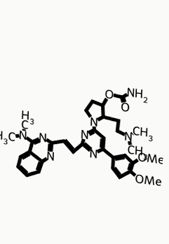 COc1ccc(-c2cc(N3CCC(OC(N)=O)C3CCN(C)C)nc(C=Cc3nc(N(C)C)c4ccccc4n3)n2)cc1OC